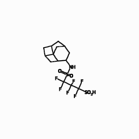 O=S(=O)(O)C(F)(F)C(F)(F)C(F)(F)S(=O)(=O)NC12CC3CC4CC(C1)C4(C3)C2